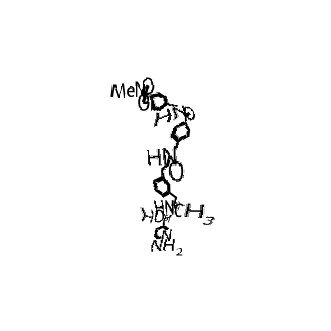 CNS(=O)(=O)c1ccc(CNC(=O)c2ccc(CNC(=O)Cc3cccc(C[C@@H](C)NC[C@@H](O)c4ccc(N)nc4)c3)cc2)cc1